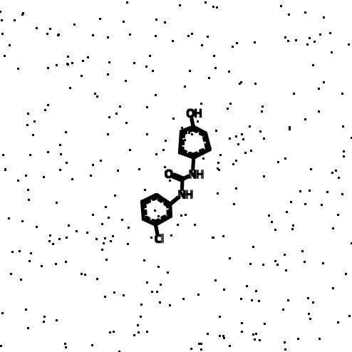 O=C(Nc1ccc(O)cc1)Nc1cccc(Cl)c1